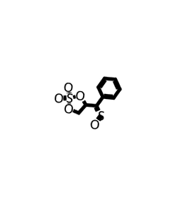 O=S=C(c1ccccc1)C1COS(=O)(=O)O1